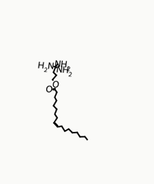 CCCCCCCC/C=C\CCCCCCCC(=O)OCCCC(N)(N)N